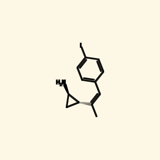 CC(=Cc1ccc(I)cc1)[C@@H]1C[C@H]1N